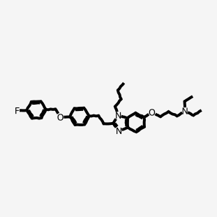 CCCCn1c(CCc2ccc(OCc3ccc(F)cc3)cc2)nc2ccc(OCCCN(CC)CC)cc21